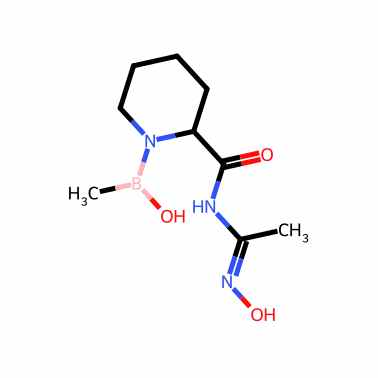 CB(O)N1CCCCC1C(=O)N/C(C)=N/O